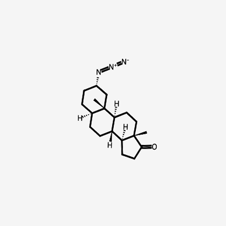 C[C@]12C[C@@H](N=[N+]=[N-])CC[C@@H]1CC[C@@H]1[C@@H]2CC[C@]2(C)C(=O)CC[C@@H]12